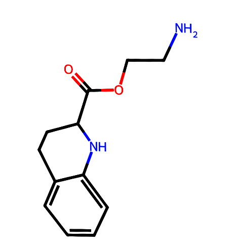 NCCOC(=O)C1CCc2ccccc2N1